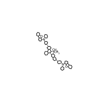 CC1(C)c2cc3cc(-c4ccc(N(c5ccccc5)c5cccc6c5oc5ccccc56)cc4)ccc3cc2-c2c1c1ccc(-c3ccc(N(c4ccccc4)c4cccc5c4oc4ccccc45)cc3)cc1c1ccccc21